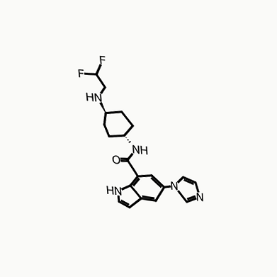 O=C(N[C@H]1CC[C@H](NCC(F)F)CC1)c1cc(-n2ccnc2)cc2cc[nH]c12